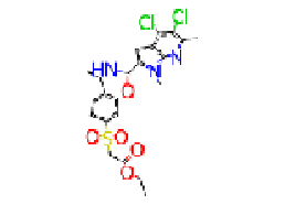 CCOC(=O)CS(=O)(=O)c1ccc([C@@H](C)NC(=O)c2cc3c(Cl)c(Cl)c(C)nc3n2C)cc1